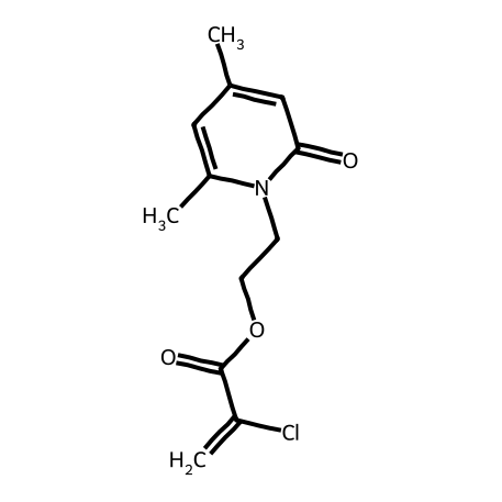 C=C(Cl)C(=O)OCCn1c(C)cc(C)cc1=O